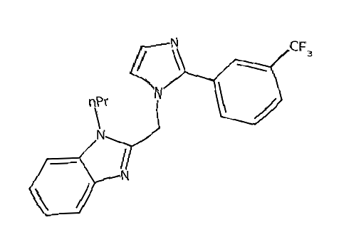 CCCn1c(Cn2ccnc2-c2cccc(C(F)(F)F)c2)nc2ccccc21